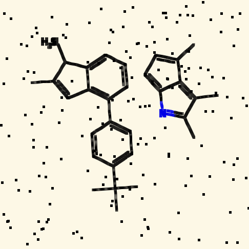 CC1=CC=C2N=C(C)C(C)=C12.CC1=Cc2c(-c3ccc(C(C)(C)C)cc3)cccc2C1[SiH3]